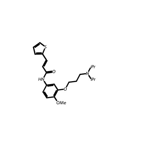 COc1ccc(NC(=O)/C=C/c2cccs2)cc1OCCCN(C(C)C)C(C)C